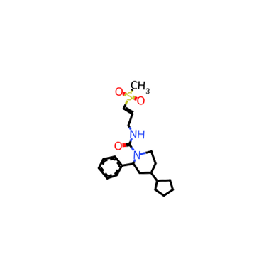 CS(=O)(=O)/C=C/CNC(=O)N1CCC(C2CCCC2)CC1c1ccccc1